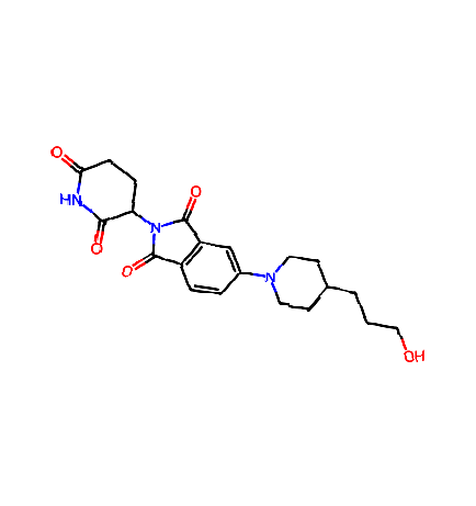 O=C1CCC(N2C(=O)c3ccc(N4CCC(CCCO)CC4)cc3C2=O)C(=O)N1